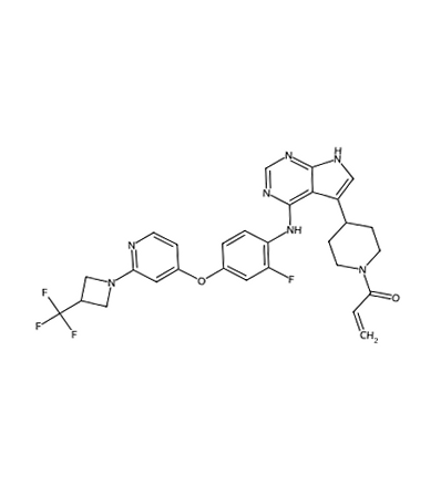 C=CC(=O)N1CCC(c2c[nH]c3ncnc(Nc4ccc(Oc5ccnc(N6CC(C(F)(F)F)C6)c5)cc4F)c23)CC1